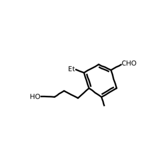 CCc1cc(C=O)cc(C)c1CCCO